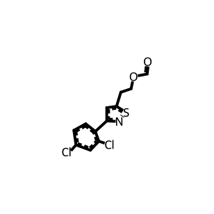 O=COCCc1cc(-c2ccc(Cl)cc2Cl)ns1